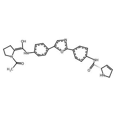 CC(=O)N1CCC/C1=C(\O)Nc1ccc(-c2cnc(-c3ccc(NC(=O)[C@@H]4C=CCN4)cc3)o2)cc1